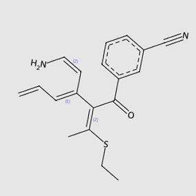 C=C/C=C(\C=C/N)C(/C(=O)c1cccc(C#N)c1)=C(\C)SCC